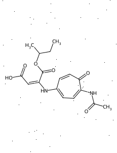 CCC(C)OC(=O)C(=CC(=O)O)Nc1ccc(NC(C)=O)c(=O)cc1